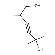 CC(C#CC(C)(C)O)CO